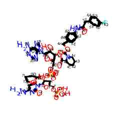 Nc1ccn([C@@H]2O[C@H](COP(=O)(O)O)[C@@H](OP(=O)(O)OC[C@H]3O[C@@H](n4cnc5c(N)ncnc54)C(O)C3OC(=O)[C@@H]3CCCCN3C(=O)OCc3ccc(NC(=O)Cc4ccc(F)cc4)cc3)[C@H]2OC2CCCO2)c(=O)n1